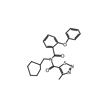 Cc1nnsc1C(=O)N(CC1CCCCC1)C(=O)c1ccccc1Oc1ccccc1